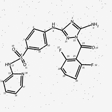 Nc1nc(Nc2ccc(S(=O)(=O)Nc3ccccn3)cc2)nn1C(=O)c1c(F)cccc1F